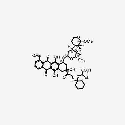 CCC(OC1(OCC(=O)[C@]2(O)Cc3c(O)c4c(c(O)c3[C@@H](O[C@H]3C[C@H]5[C@H](O[C@@H]6[C@@H](OC)OCCN65)[C@H](C)O3)C2)C(=O)c2c(OC)cccc2C4=O)CCCCC1)C(=O)O